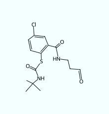 CC(C)(C)NC(=O)Sc1ccc(Cl)cc1C(=O)NCCC=O